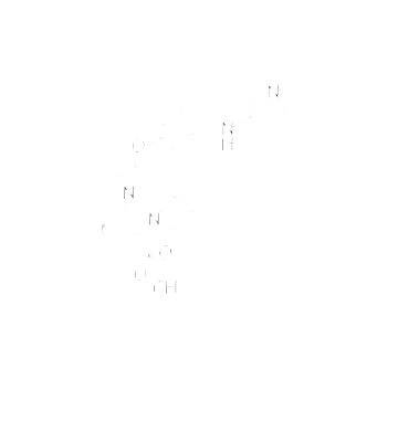 COC(=O)c1cccc(N2CC(Oc3ccc(CNc4cccnc4)cc3)C2)c1-n1cccc1